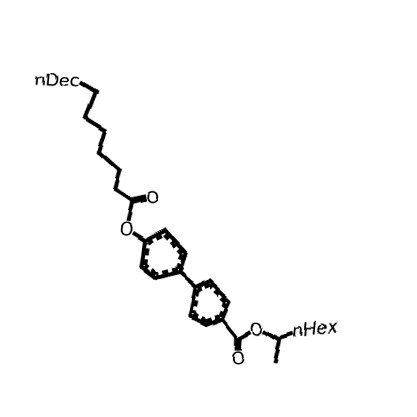 CCCCCCCCCCCCCCCCC(=O)Oc1ccc(-c2ccc(C(=O)OC(C)CCCCCC)cc2)cc1